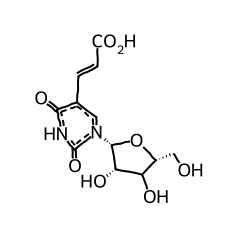 O=C(O)/C=C/c1cn([C@@H]2O[C@H](CO)C(O)[C@@H]2O)c(=O)[nH]c1=O